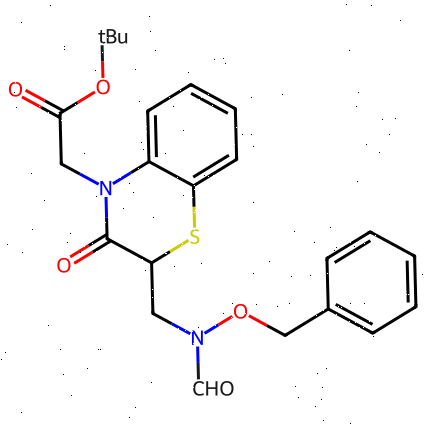 CC(C)(C)OC(=O)CN1C(=O)C(CN(C=O)OCc2ccccc2)Sc2ccccc21